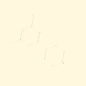 CN1CCC(c2cc(F)cc(F)c2)CC1